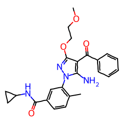 COCCOc1nn(-c2cc(C(=O)NC3CC3)ccc2C)c(N)c1C(=O)c1ccccc1